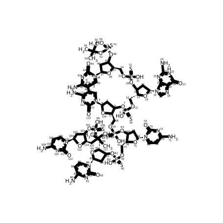 Cc1cn([C@H]2CC(OP(O)(=S)OC[C@H]3O[C@@H](n4cnc5c(=O)[nH]c(N)nc54)CC3OP(O)(=S)OC[C@H]3O[C@@H](n4ccc(N)nc4=O)CC3OP(O)(=S)OC(C)(C)C)[C@@H](COP(O)(=S)OC3C[C@H](n4ccc(N)nc4=O)O[C@@H]3COP(O)(=S)OC3C[C@H](n4ccc(N)nc4=O)O[C@@H]3COP(O)(=S)OC3C[C@H](n4ccc(N)nc4=O)O[C@@H]3CC(C)(C)C)O2)c(=O)nc1N